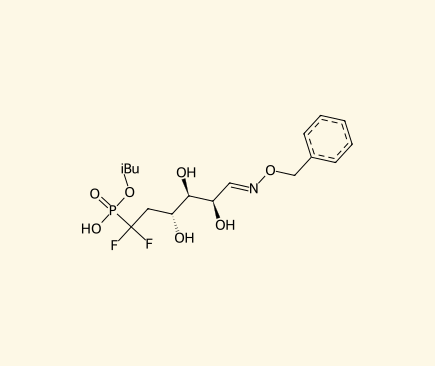 CCC(C)OP(=O)(O)C(F)(F)C[C@@H](O)[C@@H](O)[C@H](O)C=NOCc1ccccc1